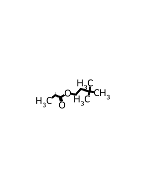 C[CH]C(=O)OCCC(C)(C)C